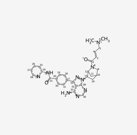 CN(C)CC=CC(=O)N1CC2CC1C(n1nc(-c3ccc(C(=O)Nc4ccccn4)cc3)c3c(N)ncnc31)C2